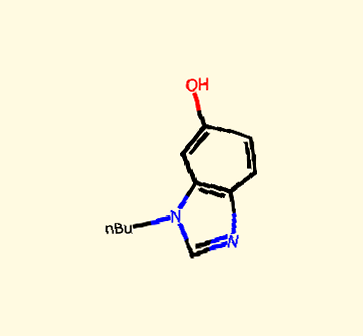 CCCCn1cnc2ccc(O)cc21